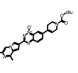 Cc1cn2cc(-c3nc4ccc(C5=CCN(C(=O)OC(C)(C)C)CC5)cc4[n+]([O-])n3)cc2c(C)n1